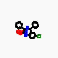 O=C1Nc2ccc(Cl)cc2C(c2ccccc2)=NC1c1ccccc1O